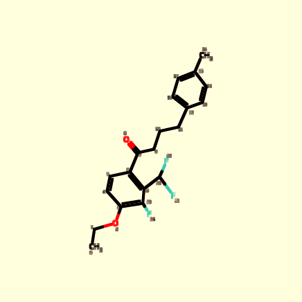 CCOc1ccc(C(=O)CCCc2ccc(C)cc2)c(C(F)F)c1F